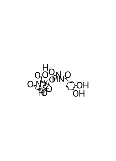 CN(NC(=O)c1ccc(O)c(O)c1)C(=O)OC[C@@]1(C)[C@H](C(=O)O)N2C(=O)C[C@H]2S1(=O)=O